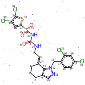 O=C(NC/C=C1\CCCc2cnn(Cc3ccc(Cl)cc3Cl)c21)NS(=O)(=O)c1cc(Cl)c(Cl)s1